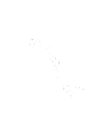 Cn1c(=O)n(C2CCC(=O)NC2=O)c2ccc(CCCN3CCN(c4ccc5cn([C@]67CC[C@](CNC(=O)c8cc(F)c(O)c(F)c8F)(CC6)CC7)nc5c4)CC3)cc21